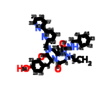 C=CCN1CC(=O)N2[C@@H](Cc3ccc(O)cc3)C(=O)N(Cc3cccc(-c4ccccn4)n3)C[C@@H]2N1C(=O)NCc1ccccc1